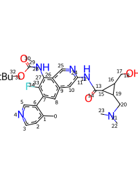 Cc1ccncc1-c1cc2cc(NC(=O)C3C(CO)C3CN(C)C)ncc2c(NC(=O)OC(C)(C)C)c1F